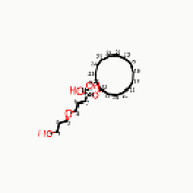 OCCCOCCC[Si](O)(O)OC1CCCCCCCCCCCCCC1